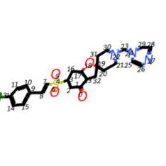 O=C1CC(S(=O)(=O)C=Cc2ccc(Cl)cc2)CC2OC3(CCN(CN4C=CN=CC4)CC3)CC12